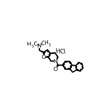 CN(C)Cc1cc2c(o1)CN(C(=O)c1ccc3c(c1)Cc1ccccc1-3)CC2.Cl